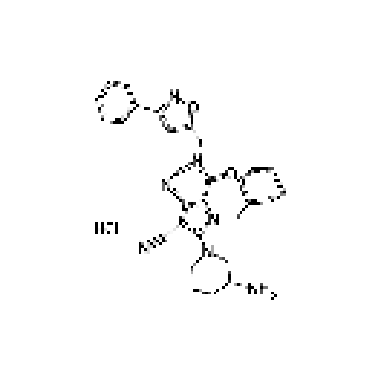 Cl.N#Cc1c(N2CCCC(N)C2)n(Cc2ccccc2)c2c(=O)n(Cc3cc(-c4ccccc4)no3)cnc12